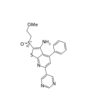 COCC[S@+]([O-])c1sc2nc(-c3cncnc3)cc(-c3ccccc3)c2c1N